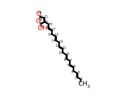 CCC=CCC=CCC=CCC=CCC=CCC=CCC1=CC(=O)OC1O